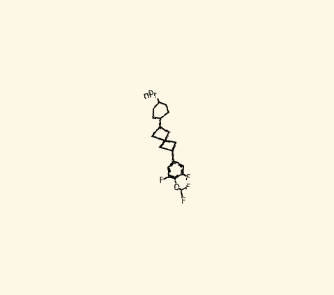 CCCC1CCC(C2CC3(CC(c4cc(F)c(OC(F)F)c(F)c4)C3)C2)CC1